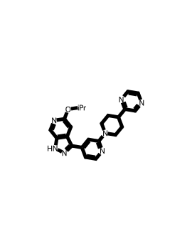 CC(C)Oc1cc2c(-c3ccnc(N4CCC(c5cnccn5)CC4)c3)n[nH]c2cn1